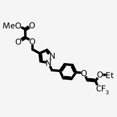 CCO/C(=C\Oc1ccc(Cn2cc(COC(=O)C(=O)OC)cn2)cc1)C(F)(F)F